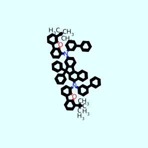 CC(C)(C)c1cccc2c1oc1c(N(c3cccc(-c4ccccc4)c3)c3ccc4c(c3)C(c3ccccc3)(c3ccccc3)c3cc(N(c5cccc(-c6ccccc6)c5)c5cccc6c5oc5c(C(C)(C)C)cccc56)c5ccccc5c3-4)cccc12